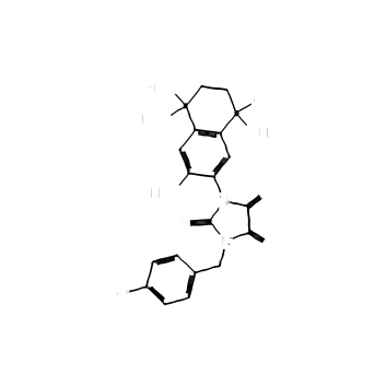 Cc1cc2c(cc1N1C(=O)C(=O)N(Cc3ccc(O)cc3)C1=S)C(C)(C)CCC2(C)C